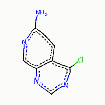 Nc1cc2c(Cl)ncnc2cn1